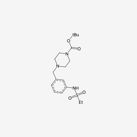 CCS(=O)(=O)Nc1cccc(CN2CCN(C(=O)OC(C)(C)C)CC2)c1